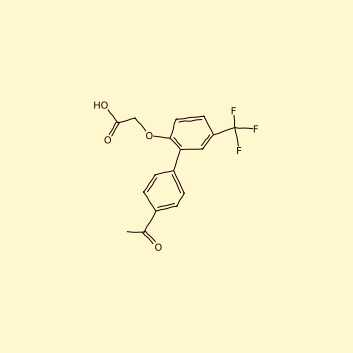 CC(=O)c1ccc(-c2cc(C(F)(F)F)ccc2OCC(=O)O)cc1